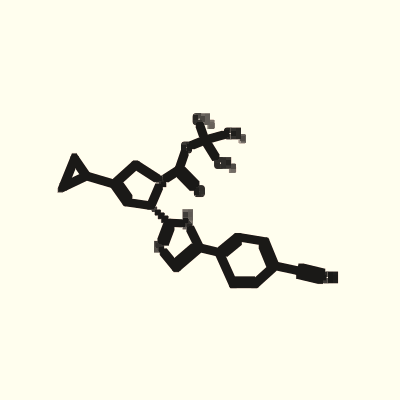 C#Cc1ccc(-c2cnc([C@@H]3C=C(C4CC4)CN3C(=O)OC(C)(C)C)[nH]2)cc1